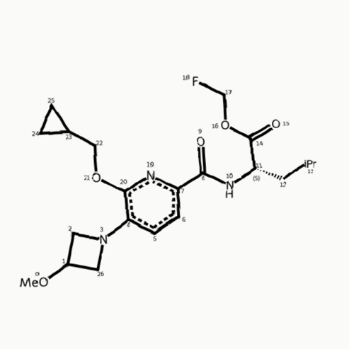 COC1CN(c2ccc(C(=O)N[C@@H](CC(C)C)C(=O)OCF)nc2OCC2CC2)C1